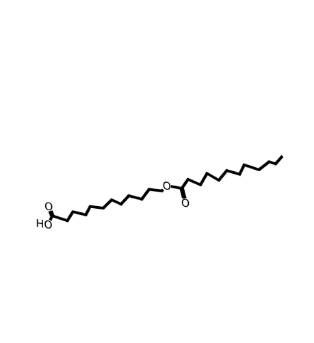 CCCCCCCCCCCC(=O)OCCCCCCCCCCCC(=O)O